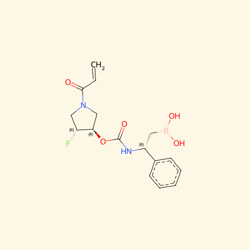 C=CC(=O)N1C[C@@H](F)[C@H](OC(=O)N[C@H](CB(O)O)c2ccccc2)C1